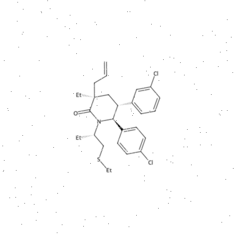 C=CC[C@@]1(CC)C[C@H](c2cccc(Cl)c2)[C@@H](c2ccc(Cl)cc2)N([C@@H](CC)CSCC)C1=O